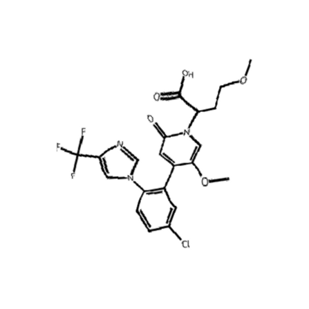 COCCC(C(=O)O)n1cc(OC)c(-c2cc(Cl)ccc2-n2cnc(C(F)(F)F)c2)cc1=O